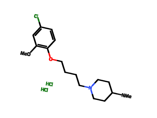 CNC1CCN(CCCCOc2ccc(Cl)cc2OC)CC1.Cl.Cl